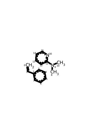 C=Cc1ccccc1.CN(C)c1ccccn1